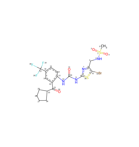 CS(=O)(=O)NCc1nc(NC(=O)Nc2ccc(C(F)(F)F)cc2C(=O)C2CCCC2)sc1Br